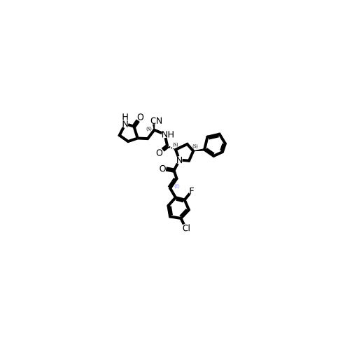 N#C[C@H](CC1CCNC1=O)NC(=O)[C@@H]1C[C@@H](c2ccccc2)CN1C(=O)/C=C/c1ccc(Cl)cc1F